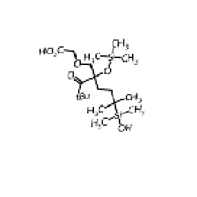 CC(C)(C)C(=O)C(CCC(C)(C)[Si](C)(C)O)(COCC(=O)O)O[Si](C)(C)C